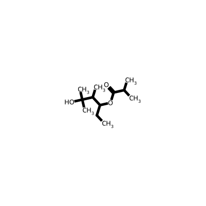 CCC(OC(=O)C(C)C)C(C)C(C)(C)O